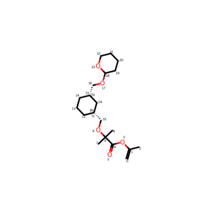 C=C(C)OC(=O)C(C)(C)OC[C@@H]1CCC[C@H](COC2CCCCO2)C1